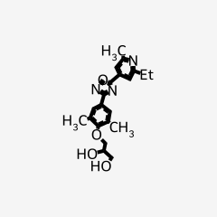 CCc1cc(-c2nc(-c3cc(C)c(OCC(O)CO)c(C)c3)no2)cc(C)n1